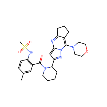 Cc1ccc(NS(C)(=O)=O)c(C(=O)N2CCCCC2c2cc3nc4c(c(N5CCOCC5)n3n2)CCC4)c1